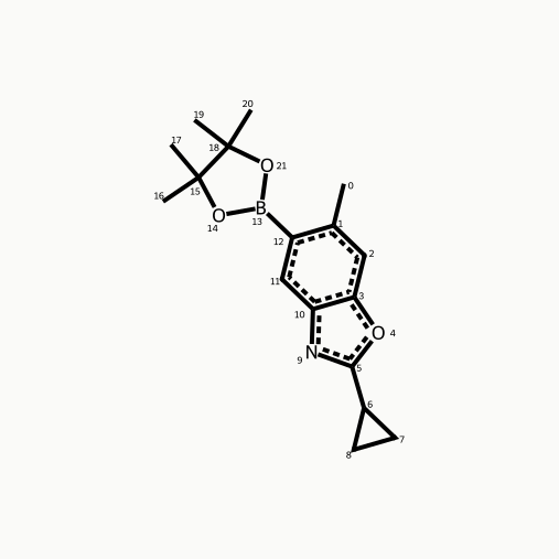 Cc1cc2oc(C3CC3)nc2cc1B1OC(C)(C)C(C)(C)O1